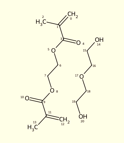 C=C(C)C(=O)OCCOC(=O)C(=C)C.OCCOCCO